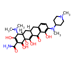 CN1CCC(N(C)c2ccc3c(c2O)C(=O)C2=C(O)[C@]4(O)C(=O)C(C(N)=O)=C(O)[C@@H](N(C)C)[C@@H]4C[C@H]2C3)CC1